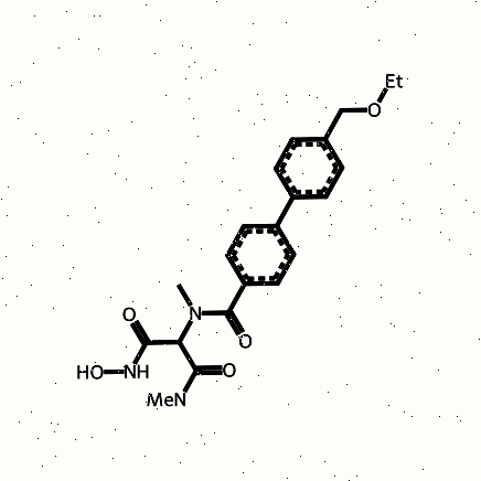 CCOCc1ccc(-c2ccc(C(=O)N(C)C(C(=O)NC)C(=O)NO)cc2)cc1